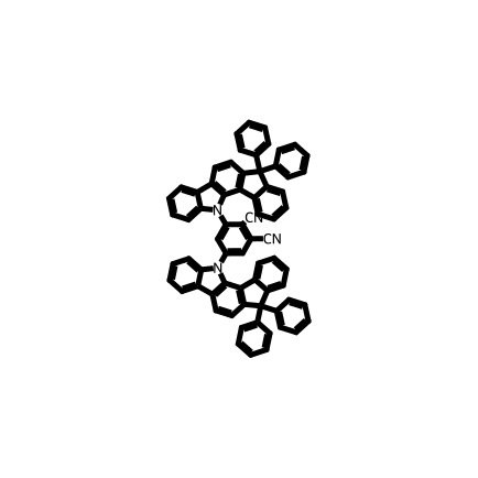 N#Cc1cc(-n2c3ccccc3c3ccc4c(c32)-c2ccccc2C4(c2ccccc2)c2ccccc2)cc(-n2c3ccccc3c3ccc4c(c32)-c2ccccc2C4(c2ccccc2)c2ccccc2)c1C#N